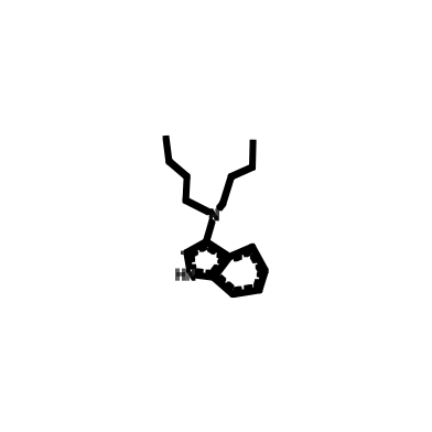 CCCCN(CCCC)c1[c][nH]c2ccccc12